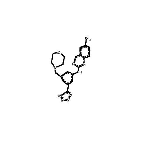 Bc1ccc2nc(Nc3cc(CN4CCOCC4)cc(-c4nnn[nH]4)c3)ncc2c1